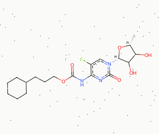 C[C@H]1O[C@@H](n2cc(F)c(NC(=O)OCCCC3CCCCC3)nc2=O)C(O)C1O